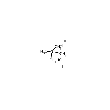 C[N+](C)(C)C.Cl.I.I.I.[I-]